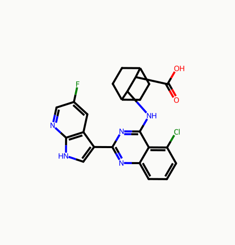 O=C(O)C1C2CCC(CC2)C1Nc1nc(-c2c[nH]c3ncc(F)cc23)nc2cccc(Cl)c12